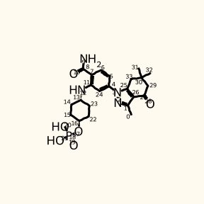 Cc1nn(-c2ccc(C(N)=O)c(N[C@H]3CC[C@H](OP(=O)(O)O)CC3)c2)c2c1C(=O)CC(C)(C)C2